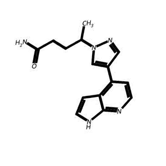 CC(CCC(N)=O)n1cc(-c2ccnc3[nH]ccc23)cn1